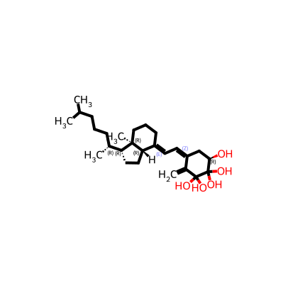 C=C1/C(=C\C=C2/CCC[C@]3(C)[C@@H]([C@H](C)CCCC(C)C)CC[C@@H]23)C[C@@H](O)C(O)(O)C1(O)O